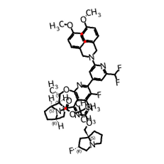 COc1ccc(CN(Cc2ccc(OC)cc2)c2cc(-c3nc4c5c(nc(OC[C@@]67CCCN6C[C@H](F)C7)nc5c3F)N3C[C@H]5CC[C@@H]([C@H]3[C@H](C)O4)N5C(=O)OC(C)(C)C)cc(C(F)F)n2)cc1